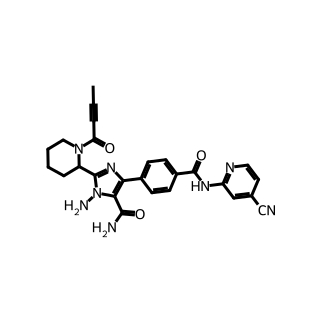 CC#CC(=O)N1CCCCC1c1nc(-c2ccc(C(=O)Nc3cc(C#N)ccn3)cc2)c(C(N)=O)n1N